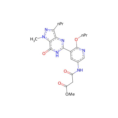 CCCOc1ncc(NC(=O)CC(=O)OC)cc1-c1nc2c(CCC)nn(C)c2c(=O)[nH]1